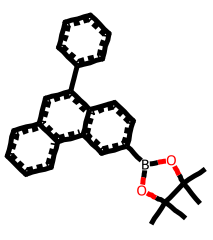 CC1(C)OB(c2ccc3c(-c4ccccc4)cc4ccccc4c3c2)OC1(C)C